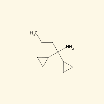 CCCC(N)(C1CC1)C1CC1